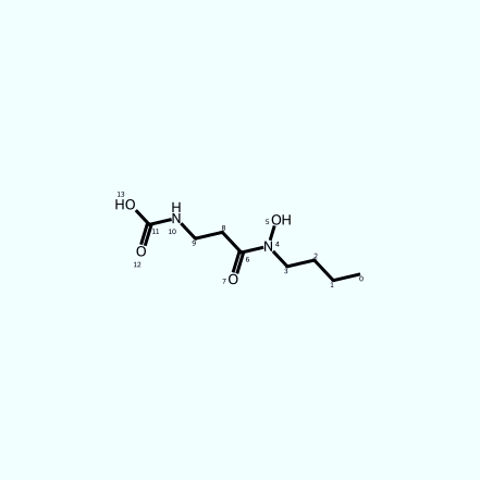 CCCCN(O)C(=O)CCNC(=O)O